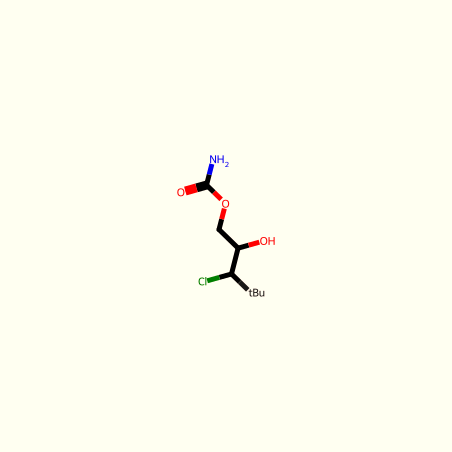 CC(C)(C)C(Cl)C(O)COC(N)=O